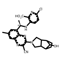 Cc1cc([C@@H](C)Nc2ccc(Cl)nc2C(=O)O)c2nc(N3CC4C5CCC(C5O)C4C3)c(C#N)nc2c1